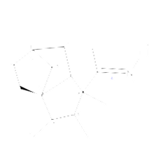 C/C(=N\O)C1(C)C(C)C(C)[C@@]23CC[C@@H](CC12)C3